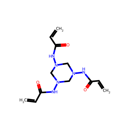 C=CC(=O)NN1CN(NC(=O)C=C)CN(NC(=O)C=C)C1